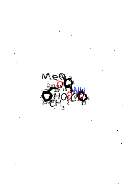 COc1ccc(C(=O)NC2(C(=O)O)CC3CCC2O3)cc1OCCc1cccc(C)c1